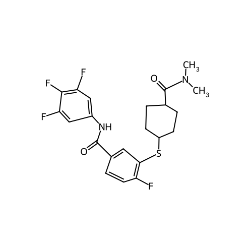 CN(C)C(=O)C1CCC(Sc2cc(C(=O)Nc3cc(F)c(F)c(F)c3)ccc2F)CC1